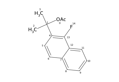 CC(=O)OC(C)(C)c1ccc2ccccc2c1F